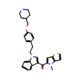 Cl.Cn1c(C(=O)c2cn(CCc3ccc(OCC4CCNCC4)cc3)c3ccccc23)cc2sccc21